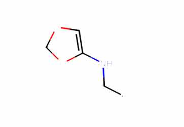 CCNC1=COCO1